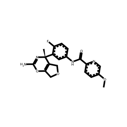 COc1ccc(C(=O)Nc2ccc(F)c([C@@]3(C)N=C(N)OC4=C3COC4)c2)nc1